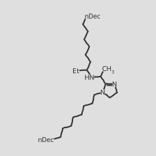 CCCCCCCCCCCCCCCCCCN1CCN=C1C(C)NC(CC)CCCCCCCCCCCCCCCC